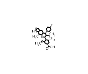 COc1cc(C(=O)O)ccc1-c1nc2c(C)c3[nH]ncc3cc2c(-c2ccc(F)cc2)c1C(C)C